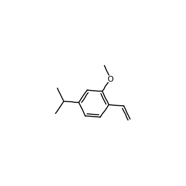 C=Cc1ccc(C(C)C)cc1OC